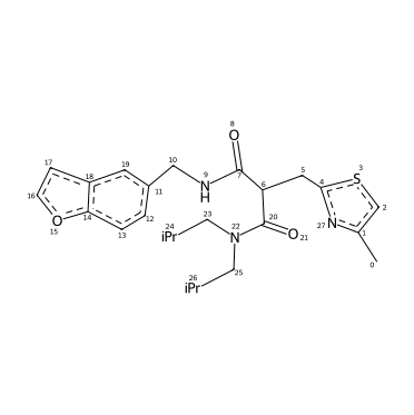 Cc1csc(CC(C(=O)NCc2ccc3occc3c2)C(=O)N(CC(C)C)CC(C)C)n1